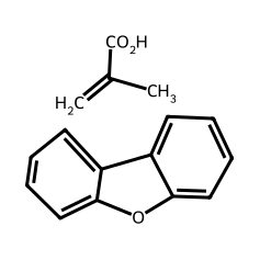 C=C(C)C(=O)O.c1ccc2c(c1)oc1ccccc12